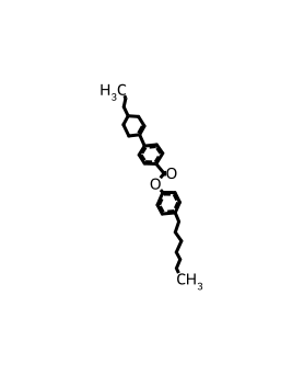 CCCCCCCc1ccc(OC(=O)c2ccc(C3=CCC(CCC)CC3)cc2)cc1